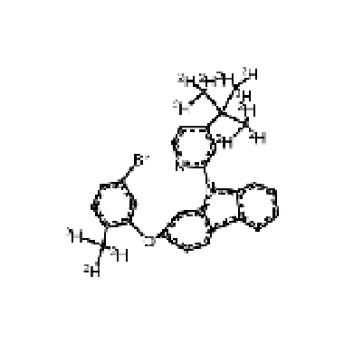 [2H]C([2H])([2H])c1ccc(Br)cc1Oc1ccc2c3ccccc3n(-c3cc(C(C([2H])([2H])[2H])(C([2H])([2H])[2H])C([2H])([2H])[2H])ccn3)c2c1